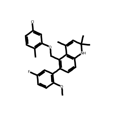 COc1ccc(F)cc1-c1ccc2c(c1COc1cc(Cl)ccc1C)C(C)=CC(C)(C)N2